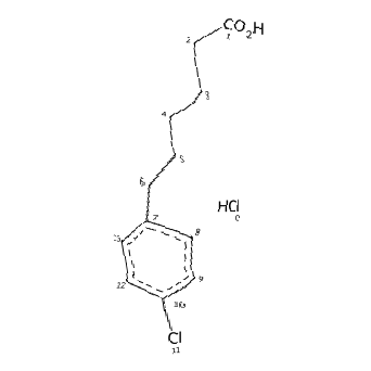 Cl.O=C(O)CCCCCc1ccc(Cl)cc1